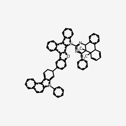 CC12C=CC=CC1c1ccccc1C1N=C(n3c4ccccc4c4c5ccccc5c5c6cc(C7C=c8c(c9c%10ccccc%10ccc9n8-c8ccccc8)=CC7)ccc6oc5c43)N=C(c3ccccc3)C12C